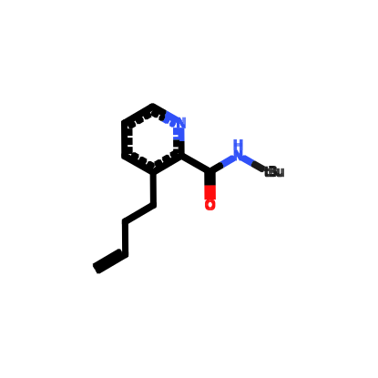 C=CCCc1cccnc1C(=O)NC(C)(C)C